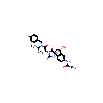 CNC(=O)Nc1ccc2c(c1)[C@@H](O)C[C@]21NC(=O)N(CC(=O)N(Cc2ccc(F)cc2)[C@@H](C)C(F)(F)F)C1=O